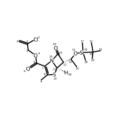 C=C(Cl)COC(=O)C1=C(C)S[C@@H]2[C@@H](C(C)O[Si](C)(C)C(C)(C)C)C(=O)N12